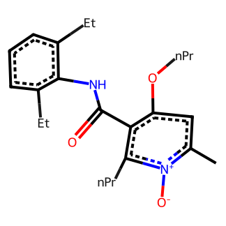 CCCOc1cc(C)[n+]([O-])c(CCC)c1C(=O)Nc1c(CC)cccc1CC